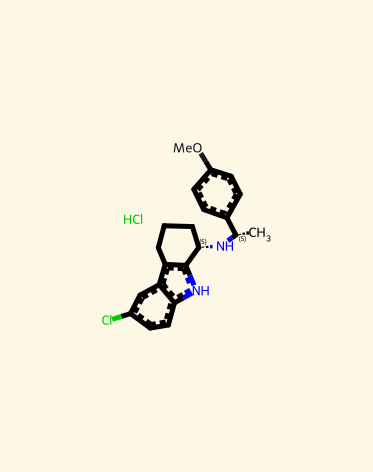 COc1ccc([C@H](C)N[C@H]2CCCc3c2[nH]c2ccc(Cl)cc32)cc1.Cl